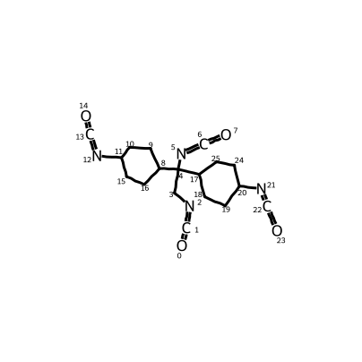 O=C=NCC(N=C=O)(C1CCC(N=C=O)CC1)C1CCC(N=C=O)CC1